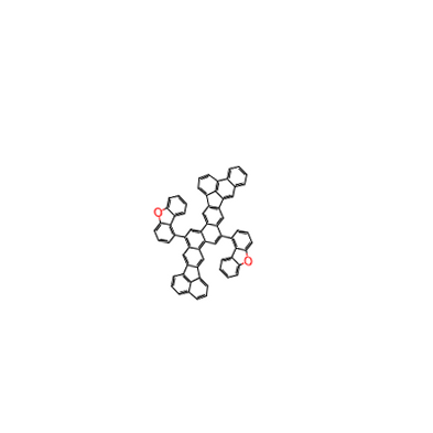 c1cc2c3c(cccc3c1)-c1cc3c(cc1-2)c(-c1cccc2oc4ccccc4c12)cc1c2cc4c(cc2c(-c2cccc5oc6ccccc6c25)cc31)-c1cc2ccccc2c2cccc-4c12